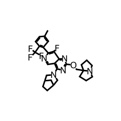 Cc1ccc(C(F)(F)F)c(-c2ncc3c(N4CC5CCC(C5)C4)nc(OCC45CCCN4CCC5)nc3c2F)c1